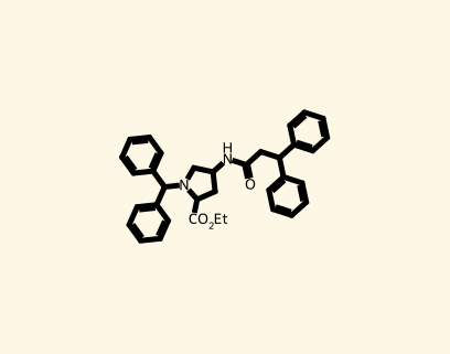 CCOC(=O)C1CC(NC(=O)CC(c2ccccc2)c2ccccc2)CN1C(c1ccccc1)c1ccccc1